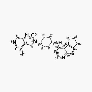 CN(Cc1ccncc1F)[C@H]1CC[C@H](Nc2ncnc3sc4c(c23)CCC4)CC1